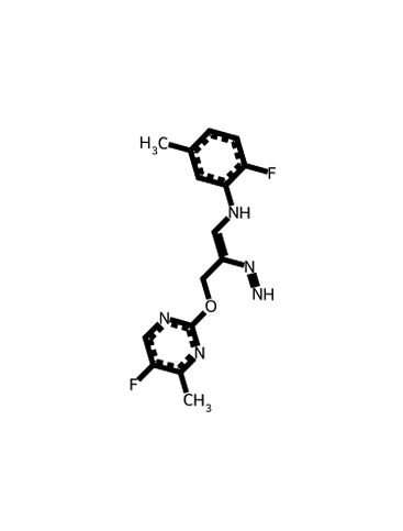 Cc1ccc(F)c(N/C=C(/COc2ncc(F)c(C)n2)N=N)c1